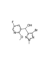 COc1ncc(F)cc1C(O)c1nn(C)nc1Br